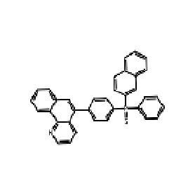 S=P(c1ccccc1)(c1ccc(-c2cc3ccccc3c3ncccc23)cc1)c1ccc2ccccc2c1